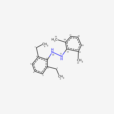 CCc1cccc(CC)c1NNc1c(C)cccc1C